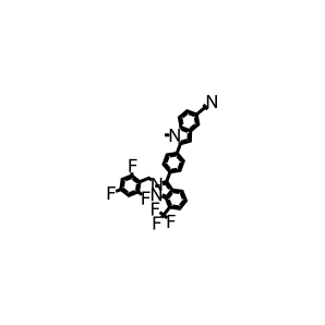 Cn1c(-c2ccc(-c3c4cccc(C(F)(F)F)c4nn3Cc3c(F)cc(F)cc3F)cc2)cc2cc(C#N)ccc21